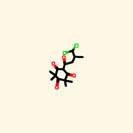 CC(CC(=O)C1C(=O)C(C)(C)C(=O)C(C)(C)C1=O)C(Cl)Cl